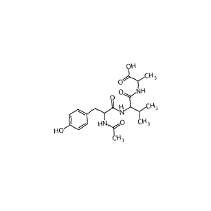 CC(=O)NC(Cc1ccc(O)cc1)C(=O)NC(C(=O)NC(C)C(=O)O)C(C)C